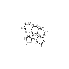 C1=CC(c2ccccc2)(c2c3ccccc3cc3ccccc23)N=N1